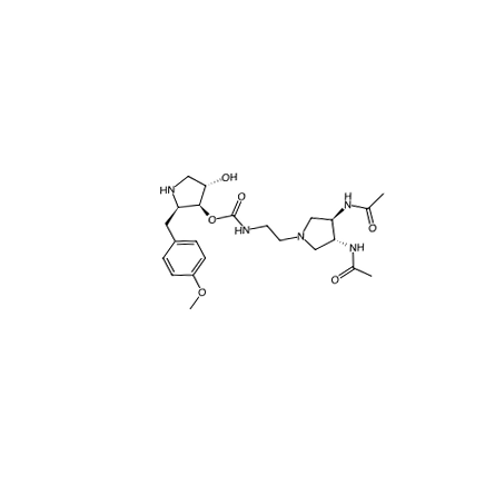 COc1ccc(C[C@H]2NC[C@H](O)[C@H]2OC(=O)NCCN2C[C@@H](NC(C)=O)[C@H](NC(C)=O)C2)cc1